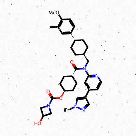 COc1ccc([C@H]2CC[C@H](CN(c3cc(-c4cnn(C(C)C)c4)ccn3)C(=O)[C@H]3CC[C@H](OC(=O)N4CC(O)C4)CC3)CC2)cc1C